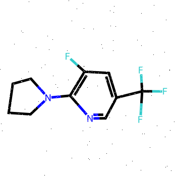 Fc1cc(C(F)(F)F)cnc1N1CCCC1